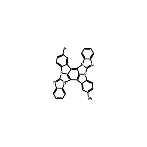 CC(C)c1ccc2c(c1)c1c3c4c(c5cc(C(C)C)ccc5n4c4nc5ccccc5n34)c3c1n2c1nc2ccccc2n31